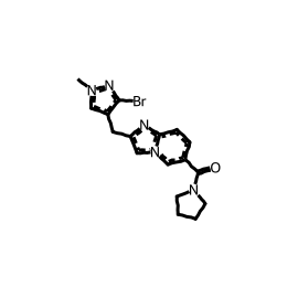 Cn1cc(Cc2cn3cc(C(=O)N4CCCC4)ccc3n2)c(Br)n1